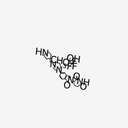 CC1(CN2CCCN(c3ccc4c(c3)CN(C3CCC(=O)NC3=O)C4=O)CC2)CCNCC1.O=C(O)C(F)(F)F